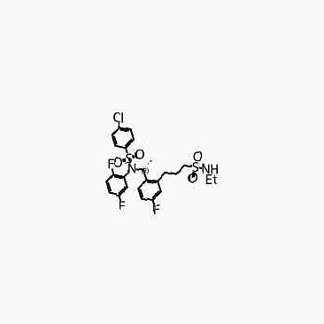 CCNS(=O)(=O)CCCc1cc(F)ccc1[C@@H](C)N(c1cc(F)ccc1F)S(=O)(=O)c1ccc(Cl)cc1